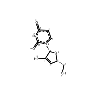 O=c1ccn([C@@H]2O[C@H](CO)C=C2S)c(=O)[nH]1